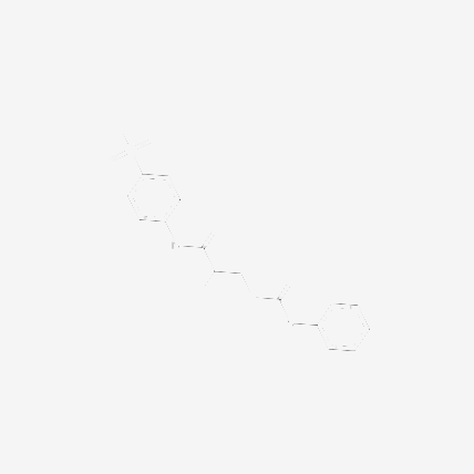 O=C(Nc1ccccc1)OCC(O)C(=O)Nc1ccc(S(=O)(=O)O)cc1